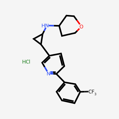 Cl.FC(F)(F)c1cccc(-c2ccc(C3CC3NC3CCOCC3)cn2)c1